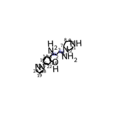 N/C(=C\C=C(/N)N1CCCNCC1)c1ccc(-n2cccn2)cc1O